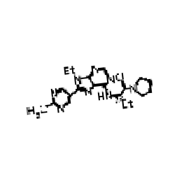 CC[C@H](Nc1ncnc2c1nc(-c1cnc(C)nc1)n2CC)C(=O)N1CCCC1